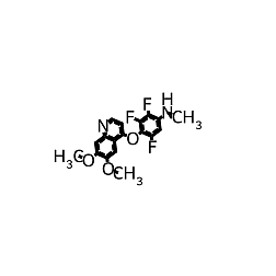 CNc1cc(F)c(Oc2ccnc3cc(OC)c(OC)cc23)c(F)c1F